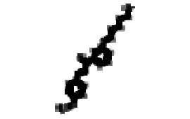 COc1ccc(C=CC(=O)c2cccc(OCCCCCBr)c2)cc1